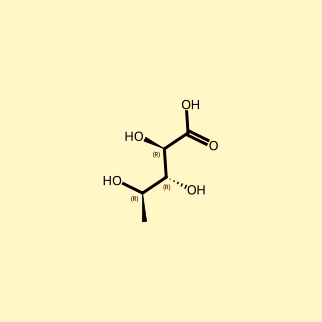 C[C@@H](O)[C@@H](O)[C@@H](O)C(=O)O